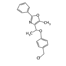 Cc1oc(-c2ccccc2)nc1C(C)Oc1ccc(CCl)cc1